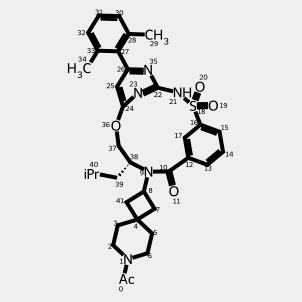 CC(=O)N1CCC2(CC1)CC(N1C(=O)c3cccc(c3)S(=O)(=O)Nc3nc(cc(-c4c(C)cccc4C)n3)OC[C@H]1CC(C)C)C2